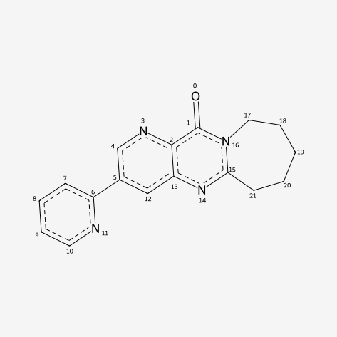 O=c1c2ncc(-c3ccccn3)cc2nc2n1CCCCC2